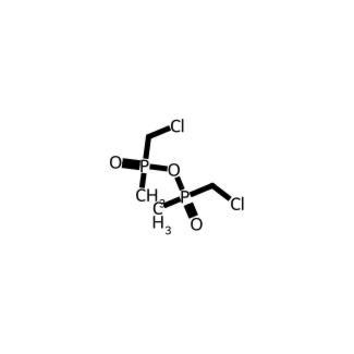 CP(=O)(CCl)OP(C)(=O)CCl